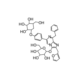 OCC1CC(Oc2ccc(-c3cn4c(OC5OC(CO)C(O)C(O)C5O)c(Cc5ccco5)nc4c(Cc4ccccc4)n3)cc2)C(O)C(O)C1O